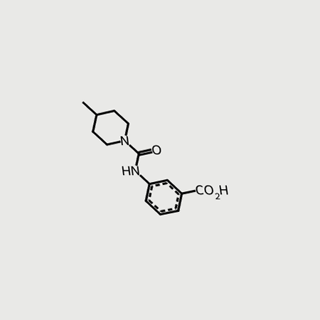 CC1CCN(C(=O)Nc2cccc(C(=O)O)c2)CC1